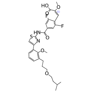 CO/C(=C/c1c(F)cc(C(=O)Nc2nc(-c3cccc(CCCOCCC(C)C)c3OC)cs2)cc1F)C(=O)O